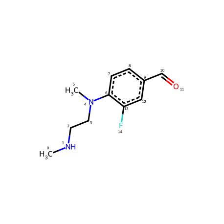 CNCCN(C)c1ccc(C=O)cc1F